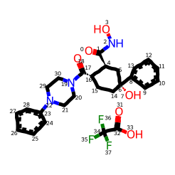 O=C(NO)[C@H]1C[C@@](O)(c2ccccc2)CC[C@@H]1C(=O)N1CCN(c2ccccc2)CC1.O=C(O)C(F)(F)F